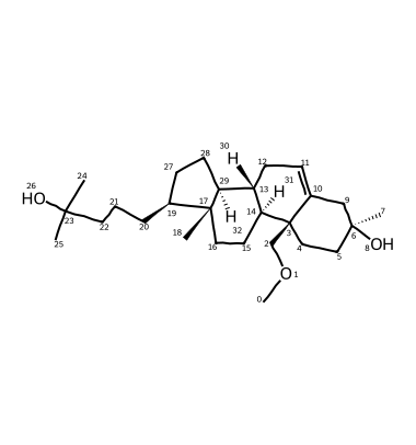 COC[C@]12CC[C@](C)(O)CC1=CC[C@@H]1[C@@H]2CC[C@]2(C)[C@@H](CCCC(C)(C)O)CC[C@@H]12